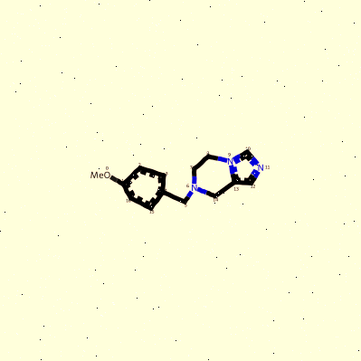 COc1ccc(CN2CCn3cncc3C2)cc1